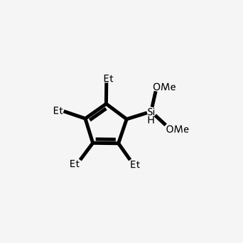 CCC1=C(CC)C([SiH](OC)OC)C(CC)=C1CC